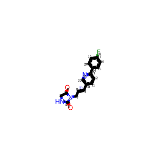 O=C1CNC(=O)N1C/C=C/c1ccc(-c2ccc(F)cc2)nc1